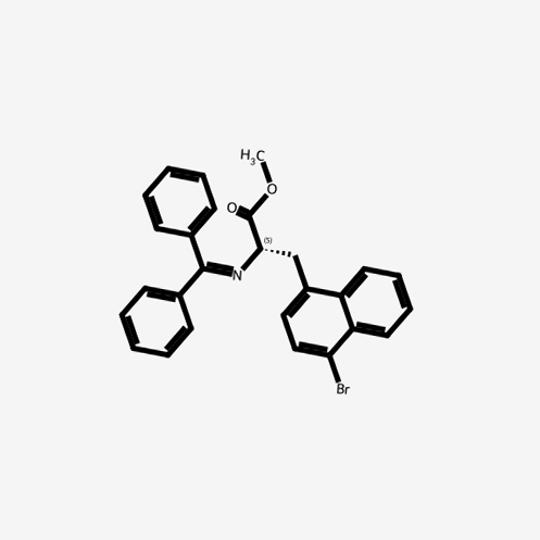 COC(=O)[C@H](Cc1ccc(Br)c2ccccc12)N=C(c1ccccc1)c1ccccc1